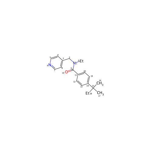 CCN(Cc1ccncc1)C(=O)c1ccc(C(C)(C)CC)cc1